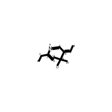 C=C(CC)/N=C\C(=C/C)C(C)(C)C